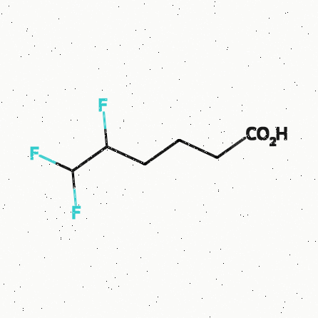 O=C(O)CCCC(F)C(F)F